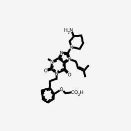 CC(C)=CCn1c(N2CCCC(N)C2)nc2c1c(=O)n(CCc1ccccc1OCC(=O)O)c(=O)n2C